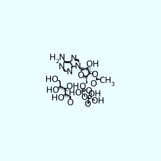 CC(=O)O[C@H]1[C@@H](O)[C@H](n2cnc3c(N)ncnc32)O[C@@H]1COP(=O)(O)OP(=O)(O)O.O=C[C@H](O)[C@H](O)[C@H](O)CO